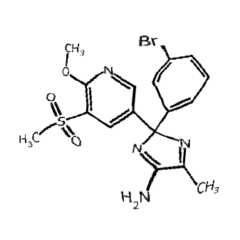 COc1ncc(C2(c3cccc(Br)c3)N=C(C)C(N)=N2)cc1S(C)(=O)=O